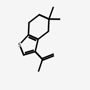 C=C(C)c1csc2c1CC(C)(C)CC2